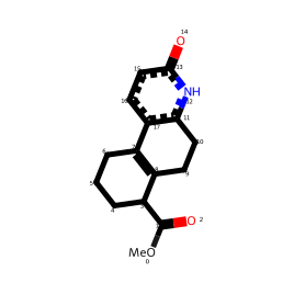 COC(=O)C1CCCC2=C1CCc1[nH]c(=O)ccc12